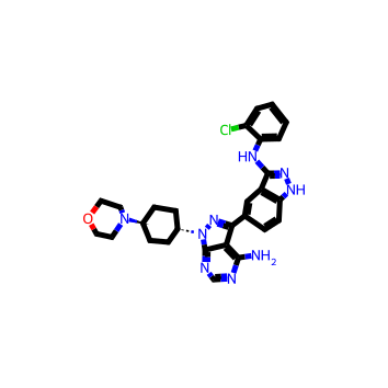 Nc1ncnc2c1c(-c1ccc3[nH]nc(Nc4ccccc4Cl)c3c1)nn2[C@H]1CC[C@H](N2CCOCC2)CC1